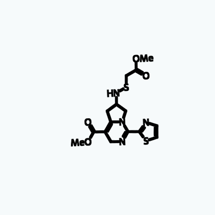 COC(=O)CSNC1CC2=C(C(=O)OC)CN=C(c3nccs3)N2C1